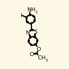 CC(=O)Oc1ccc2nc(-c3ccc(N)c(I)c3)sc2c1